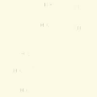 CC1=CC[C@@H](/C=C/C(C)(C)[C@H](C)O)C1(C)C